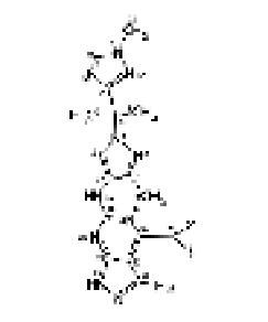 Cc1nn(C(C)(C)c2ncn(C)n2)cc1Nc1nc(C2CC2)c2c(F)c[nH]c2n1